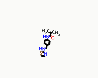 C=C(C)C(=O)Nc1ccc(CNc2nccs2)cc1